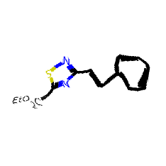 CCOC(=O)c1nc(/C=C/c2ccccc2)ns1